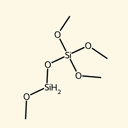 CO[SiH2]O[Si](OC)(OC)OC